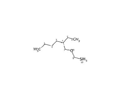 CCCCC(CC)COC[SiH3]